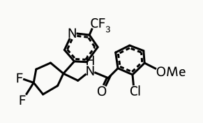 COc1cccc(C(=O)NCC2(c3ccc(C(F)(F)F)nc3)CCC(F)(F)CC2)c1Cl